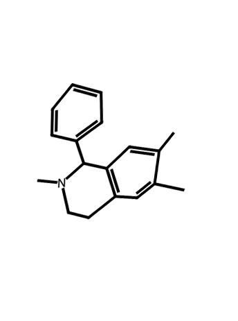 Cc1cc2c(cc1C)C(c1ccccc1)N(C)CC2